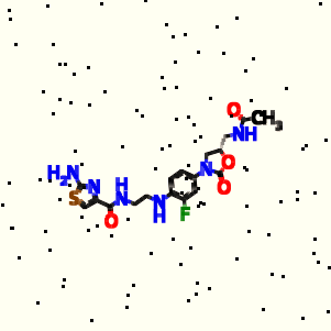 CC(=O)NC[C@H]1CN(c2ccc(NCCNC(=O)c3csc(N)n3)c(F)c2)C(=O)O1